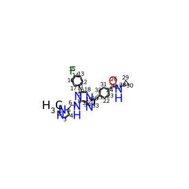 Cn1nccc1CNc1nc(-c2ccc(F)cc2)cn2c(-c3ccc(C(=O)NC4CC4)cc3)cnc12